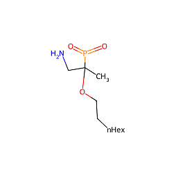 CCCCCCCCOC(C)(CN)P(=O)=O